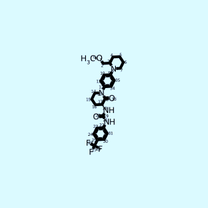 COCC1CCCCN1c1ccc(N2CCC[C@@H](NC(=O)Nc3ccc(C(F)(F)F)cc3)C2=O)cc1